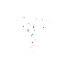 COCCNc1nc(Nc2cc(C)no2)nc([N+](C)(C)C(=O)Oc2cc[c]cc2)n1